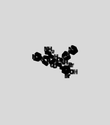 NCCCC[C@H](NC(=O)[C@@H](Cc1cc(Br)c(O)c(Br)c1)NC(=O)N1CCN(c2ccccn2)CC1)C(=O)N1CCN(c2ccncc2)CC1